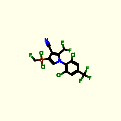 N#Cc1c(S(Cl)(Cl)CF)cn(-c2c(Cl)cc(C(F)(F)F)cc2Cl)c1C(F)F